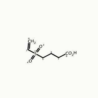 C=CS(=O)(=O)CCCC(=O)O